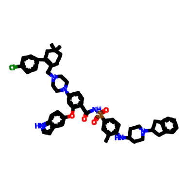 Cc1cc(S(=O)(=O)NC(=O)c2ccc(N3CCN(CC4=C(c5ccc(Cl)cc5)CC(C)(C)CC4)CC3)cc2Oc2ccc3[nH]ccc3c2)ccc1NC1CCN(C2Cc3ccccc3C2)CC1